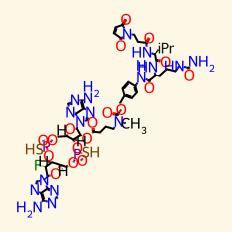 CC(C)[C@H](NC(=O)CCN1C(=O)C=CC1=O)C(=O)N[C@@H](CCCNC(N)=O)C(=O)Nc1ccc(COC(=O)N(C)CCCC(=O)O[C@@H]2[C@@H]3O[P@](=O)(S)OC[C@H]4O[C@@H](n5cnc6c(N)ncnc65)[C@H](F)[C@@H]4O[P@](=O)(S)OC[C@H]3O[C@H]2n2cnc3c(N)ncnc32)cc1